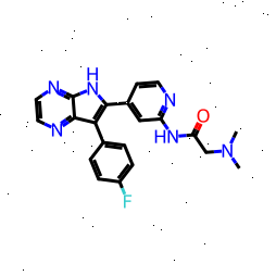 CN(C)CC(=O)Nc1cc(-c2[nH]c3nccnc3c2-c2ccc(F)cc2)ccn1